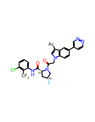 CC(=O)c1cn(CC(=O)N2C[C@H](F)C[C@H]2C(=O)Nc2cccc(Cl)c2C(F)(F)F)c2ccc(-c3ccnnc3)cc12